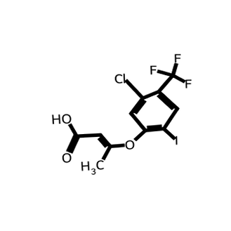 CC(=CC(=O)O)Oc1cc(Cl)c(C(F)(F)F)cc1I